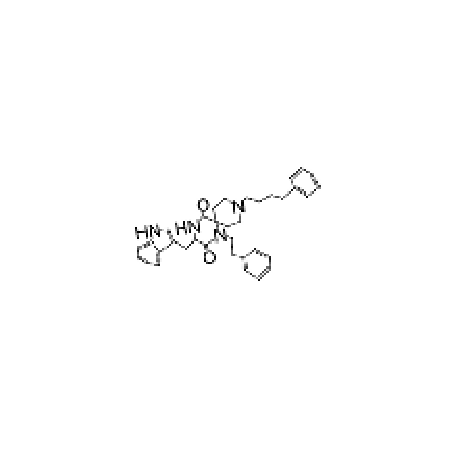 O=C1C(Cc2c[nH]c3ccccc23)NC(=O)C2(CCN(CCCCc3ccccc3)CC2)N1CCc1ccccc1